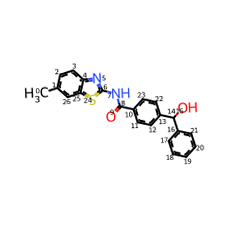 Cc1ccc2nc(NC(=O)c3ccc(C(O)c4ccccc4)cc3)sc2c1